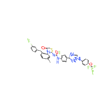 Cc1ccc(Cc2cccc(F)c2)c(N2C(=O)CSC2=NC(=O)Nc2ccc(-c3ncn(-c4ccc(OC(F)(F)F)cc4)n3)cc2F)c1